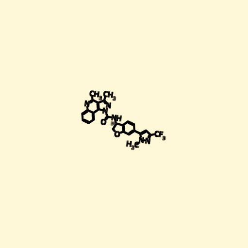 Cc1nc2ccccc2c2c1c(C)nn2C(=O)N[C@@H]1COc2cc(-c3cc(C(F)(F)F)nn3C)ccc21